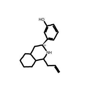 C=CCC1N[C@H](c2cccc(O)c2)CC2CCCCC21